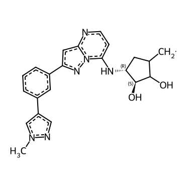 [CH2]C1C[C@@H](Nc2ccnc3cc(-c4cccc(-c5cnn(C)c5)c4)nn23)[C@H](O)C1O